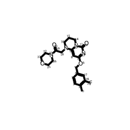 Cc1ccc(COc2cc3n(c(=O)n2)CCCN3CC(=O)N2CCOCC2)cc1F